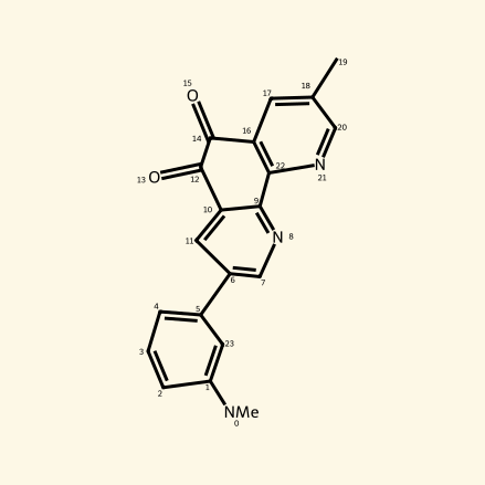 CNc1cccc(-c2cnc3c(c2)C(=O)C(=O)c2cc(C)cnc2-3)c1